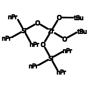 CCC[Si](CCC)(CCC)[O][Zr]([O]C(C)(C)C)([O]C(C)(C)C)[O][Si](CCC)(CCC)CCC